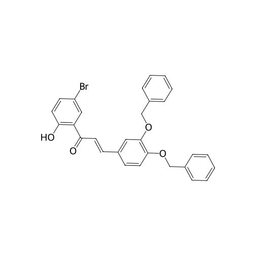 O=C(/C=C/c1ccc(OCc2ccccc2)c(OCc2ccccc2)c1)c1cc(Br)ccc1O